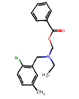 CCN(COC(=O)c1ccccc1)Cc1cc(C)ccc1Br